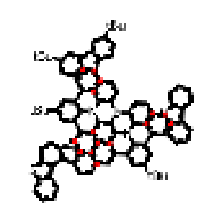 CC(C)(C)c1cc(-c2ccccc2)c(N2c3cc(-n4c5ccccc5c5ccccc54)ccc3B3c4ccc(-n5c6ccc(C(C)(C)C)cc6c6cc(C(C)(C)C)ccc65)cc4N(c4c(-c5ccccc5)cc(C(C)(C)C)cc4-c4ccccc4)c4cc(-c5cccc6c5sc5ccc7sc8ccccc8c7c56)cc2c43)c(-c2ccccc2)c1